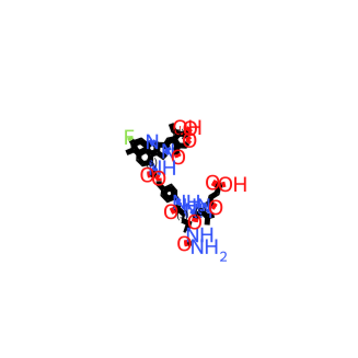 CC[C@@]1(O)C(=O)OCc2c1cc1n(c2=O)Cc2c-1nc1cc(F)c(C)c3c1c2[C@@H](NC(=O)OCc1ccc(NC(=O)[C@H](CCCNC(N)=O)NC(=O)[C@@H](NC(=O)CCC(=O)O)C(C)C)cc1)CC3